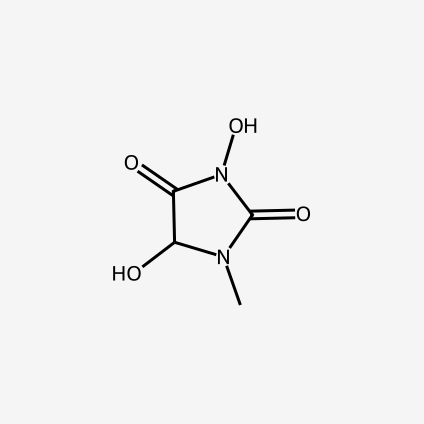 CN1C(=O)N(O)C(=O)C1O